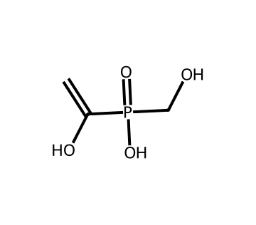 C=C(O)P(=O)(O)CO